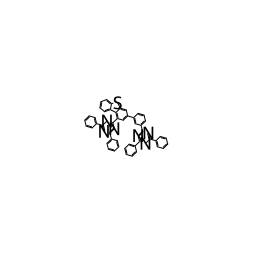 c1ccc(-c2nc(-c3ccccc3)nc(-c3cccc(-c4cc(-c5nc(-c6ccccc6)nc(-c6ccccc6)n5)c5c(c4)sc4ccccc45)c3)n2)cc1